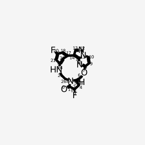 O=C1[C@H](F)C[C@H]2COc3ccn4ncc(c4n3)-c3cc(F)cc(c3)NCCN12